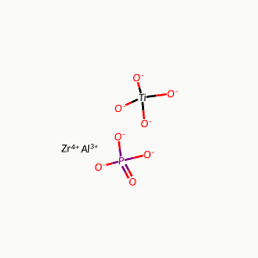 O=P([O-])([O-])[O-].[Al+3].[O-][Ti]([O-])([O-])[O-].[Zr+4]